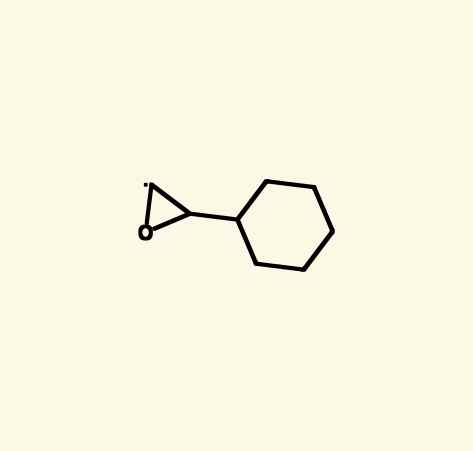 [CH]1OC1C1CCCCC1